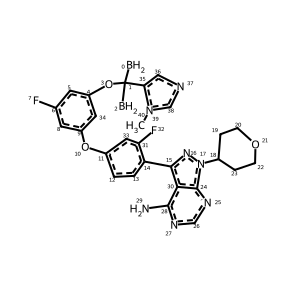 BC(B)(Oc1cc(F)cc(Oc2ccc(-c3nn(C4CCOCC4)c4ncnc(N)c34)c(F)c2)c1)c1cncn1C